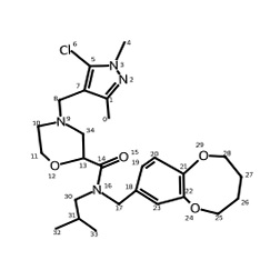 Cc1nn(C)c(Cl)c1CN1CCOC(C(=O)N(Cc2ccc3c(c2)OCCCCO3)CC(C)C)C1